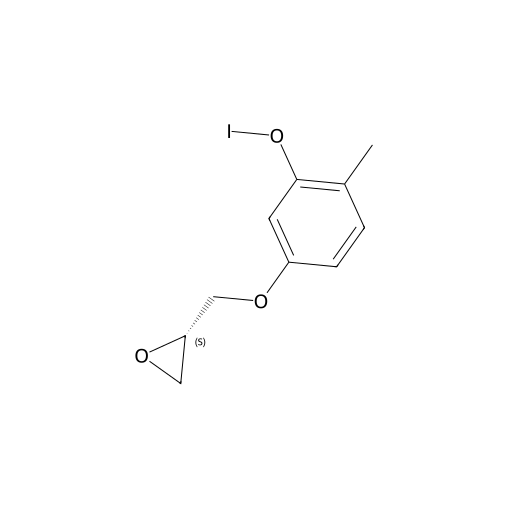 Cc1ccc(OC[C@@H]2CO2)cc1OI